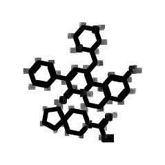 O=C(O)N1CCC2(CCCC2)CC1.O=c1c(-c2ccccc2)cc(CC2COCCO2)c2n1CCc1ccc(Cl)cc1-2